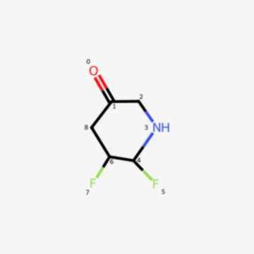 O=C1CNC(F)C(F)C1